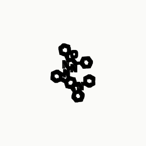 c1ccc(-c2nc(-n3c4ccccc4c4cc5c6ccccc6n(-c6ccccc6)c5cc43)nc3c2oc2ccccc23)cc1